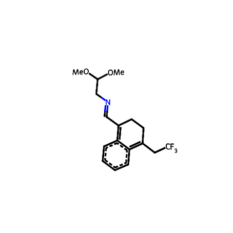 COC(C/N=C/C1=c2ccccc2=C(CC(F)(F)F)CC1)OC